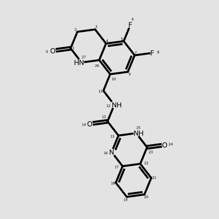 O=C1CCc2c(F)c(F)cc(CNC(=O)c3nc4ccccc4c(=O)[nH]3)c2N1